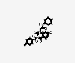 O=C(Cn1c(=O)n(S(=O)(=O)c2ccc(Cl)cc2)c(=O)c2ccc(Cl)cc21)NC1CCCCC1